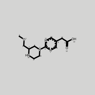 COCC1CN(c2ncc(CC(=O)O)cn2)CCN1